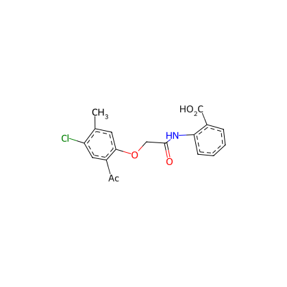 CC(=O)c1cc(Cl)c(C)cc1OCC(=O)Nc1ccccc1C(=O)O